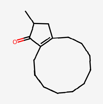 CC1CC2=C(CCCCCCCCCC2)C1=O